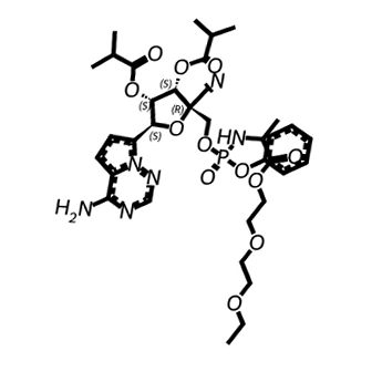 CCOCCOCCOC(=O)C(C)NP(=O)(OC[C@@]1(C#N)O[C@@H](c2ccc3c(N)ncnn23)[C@H](OC(=O)C(C)C)[C@@H]1OC(=O)C(C)C)Oc1ccccc1